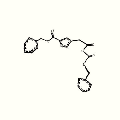 O=C(Cn1nnc(C(=O)OCc2ccccc2)n1)OC(=O)OCc1ccccc1